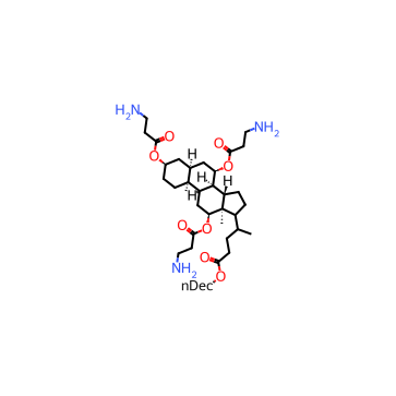 CCCCCCCCCCOC(=O)CCC(C)C1CC[C@H]2[C@@H]3[C@H](OC(=O)CCN)C[C@@H]4C[C@H](OC(=O)CCN)CC[C@]4(C)[C@H]3C[C@H](OC(=O)CCN)[C@]12C